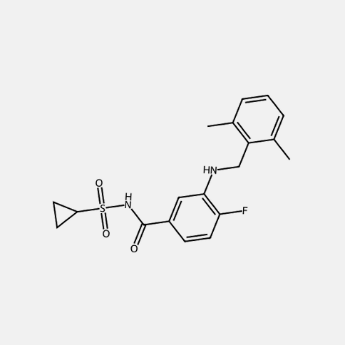 Cc1cccc(C)c1CNc1cc(C(=O)NS(=O)(=O)C2CC2)ccc1F